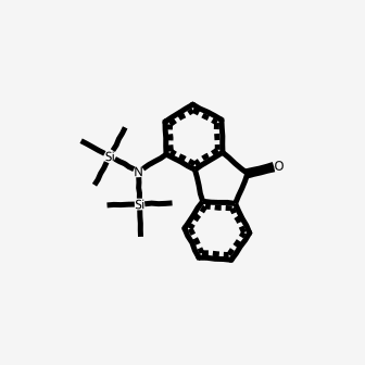 C[Si](C)(C)N(c1cccc2c1-c1ccccc1C2=O)[Si](C)(C)C